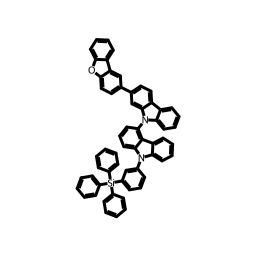 c1ccc([Si](c2ccccc2)(c2ccccc2)c2cccc(-n3c4ccccc4c4c(-n5c6ccccc6c6ccc(-c7ccc8oc9ccccc9c8c7)cc65)cccc43)c2)cc1